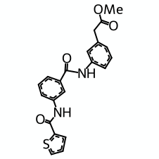 COC(=O)Cc1cccc(NC(=O)c2cccc(NC(=O)c3cccs3)c2)c1